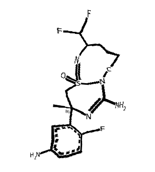 C[C@@]1(c2cc(N)ccc2F)CS2(=O)=NC(C(F)F)CCCN2C(N)=N1